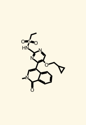 CCS(=O)(=O)Nc1ncc(OCC2CC2)c(-c2cn(C)c(=O)c3ccccc23)n1